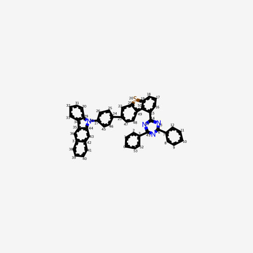 c1ccc(-c2nc(-c3ccccc3)nc(-c3cccc4sc5cc(-c6ccc(-n7c8ccccc8c8cc9ccccc9cc87)cc6)ccc5c34)n2)cc1